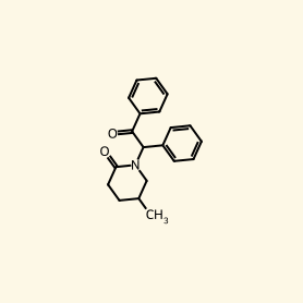 CC1CCC(=O)N(C(C(=O)c2ccccc2)c2ccccc2)C1